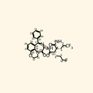 NC(=O)[C@H](CCC(F)(F)F)[C@H](CCCF)C(=O)N[C@H]1N=C(c2ccccc2)c2cccc3c2N(CCO3)C1=O